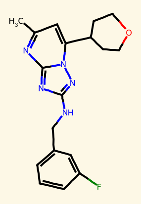 Cc1cc(C2CCOCC2)n2nc(NCc3cccc(F)c3)nc2n1